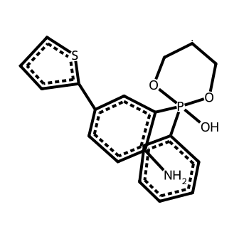 Nc1ccc(-c2cccs2)cc1P1(O)(c2ccccc2)OC[CH]CO1